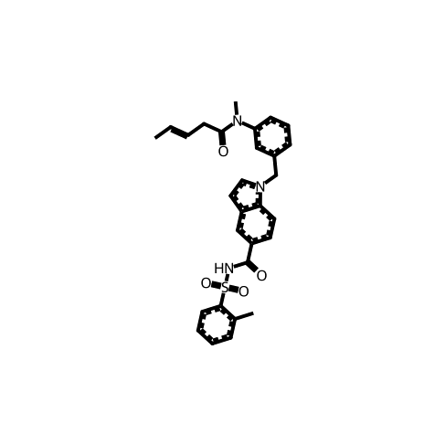 CC=CCC(=O)N(C)c1cccc(Cn2ccc3cc(C(=O)NS(=O)(=O)c4ccccc4C)ccc32)c1